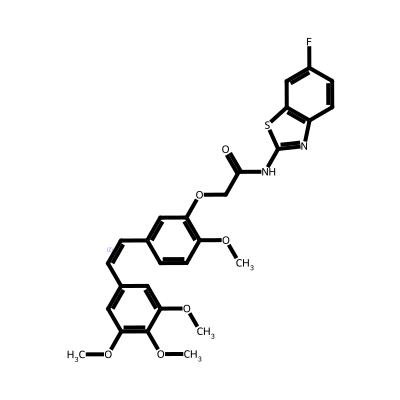 COc1ccc(/C=C\c2cc(OC)c(OC)c(OC)c2)cc1OCC(=O)Nc1nc2ccc(F)cc2s1